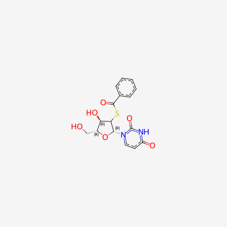 O=C(SC1[C@H](n2ccc(=O)[nH]c2=O)O[C@H](CO)[C@H]1O)c1ccccc1